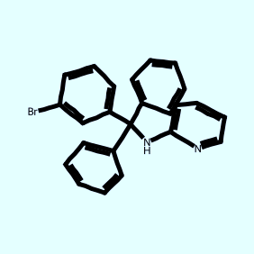 Brc1cccc(C(Nc2ccccn2)(c2ccccc2)c2ccccc2)c1